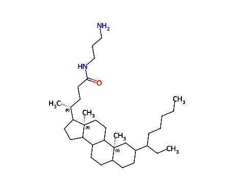 CCCCCC(CC)C1CCC2CCC3C(CC[C@@]4(C)C3CCC4[C@H](C)CCC(=O)NCCCN)[C@@]2(C)C1